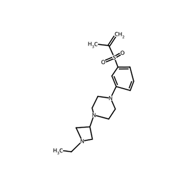 C=C(C)S(=O)(=O)c1cccc(N2CCN(C3CN(CC)C3)CC2)c1